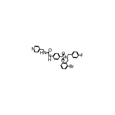 O=C(NCc1ccncc1)Nc1ccc(S(=O)(=O)N(Cc2ccc(F)cc2)Cc2ccccc2Br)cc1